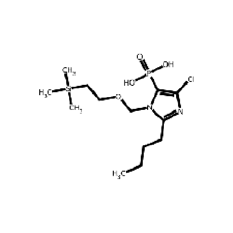 CCCCc1nc(Cl)c(P(=O)(O)O)n1COCC[Si](C)(C)C